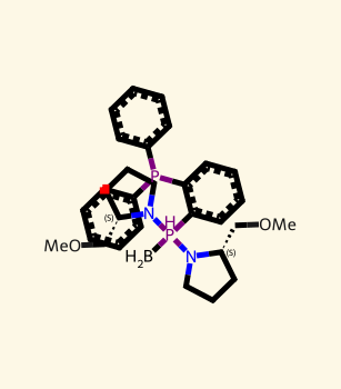 B[PH](c1ccccc1P(c1ccccc1)c1ccccc1)(N1CCC[C@H]1COC)N1CCC[C@H]1COC